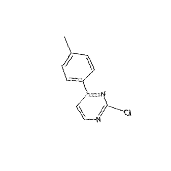 Cc1ccc(-c2ccnc(Cl)n2)cc1